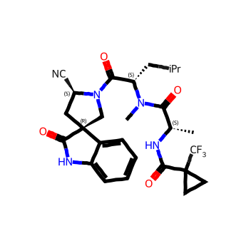 CC(C)C[C@@H](C(=O)N1C[C@]2(C[C@H]1C#N)C(=O)Nc1ccccc12)N(C)C(=O)[C@H](C)NC(=O)C1(C(F)(F)F)CC1